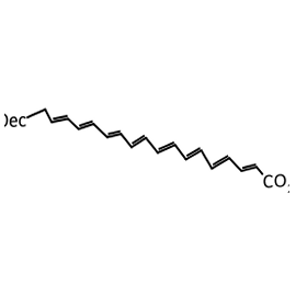 CCCCCCCCCCCC=CC=CC=CC=CC=CC=CC=CC=CC(=O)O